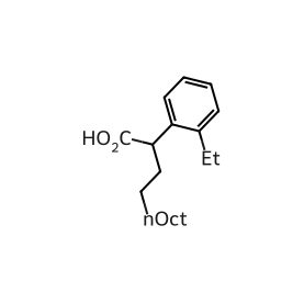 CCCCCCCCCCC(C(=O)O)c1ccccc1CC